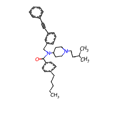 CCCCCc1ccc(C(=O)N(Cc2cccc(C#Cc3ccccc3)c2)C2CCN(CCC(C)C)CC2)cc1